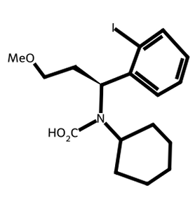 COCC[C@@H](c1ccccc1I)N(C(=O)O)C1CCCCC1